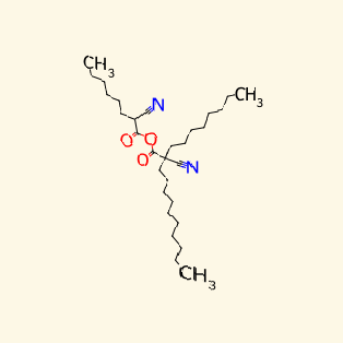 CCCCCCCCCCC(C#N)(CCCCCCCC)C(=O)OC(=O)C(C#N)CCCCCC